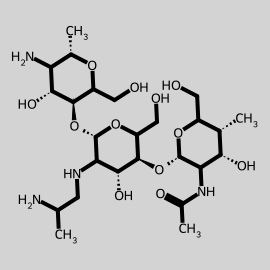 CC(=O)NC1[C@H](O[C@@H]2C(CO)O[C@@H](O[C@@H]3C(CO)O[C@@H](C)C(N)[C@H]3O)C(NCC(C)N)[C@H]2O)OC(CO)[C@H](C)[C@@H]1O